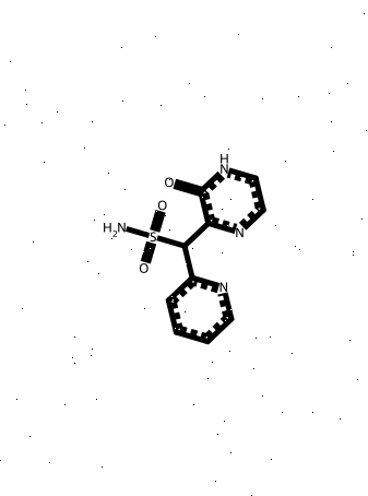 NS(=O)(=O)C(c1ccccn1)c1ncc[nH]c1=O